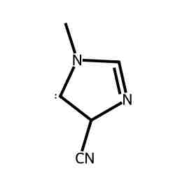 CN1[C]C(C#N)N=C1